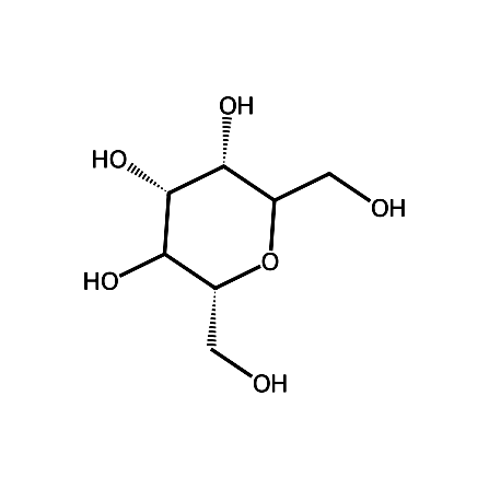 OCC1O[C@H](CO)C(O)[C@H](O)[C@@H]1O